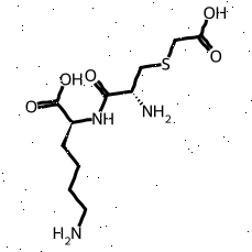 NCCCC[C@H](NC(=O)[C@@H](N)CSCC(=O)O)C(=O)O